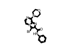 O=C(Nc1ccccc1)c1nc2c(N3CCOCC3)nccn2c1Br